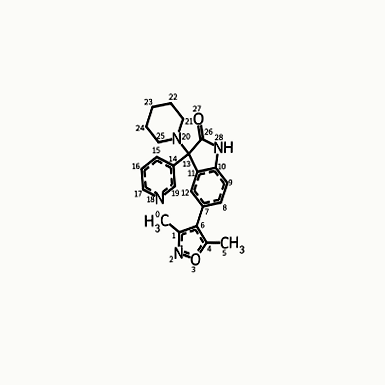 Cc1noc(C)c1-c1ccc2c(c1)C(c1cccnc1)(N1CCCCC1)C(=O)N2